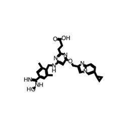 Cc1cc(C(=N)NO)cc(C)c1CNc1cc(OCc2cn3cc(C4CC4)ccc3n2)nc(CCC(=O)O)n1